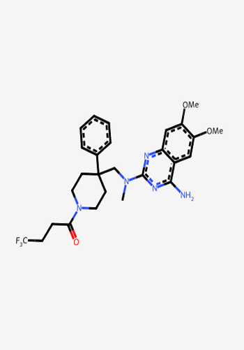 COc1cc2nc(N(C)CC3(c4ccccc4)CCN(C(=O)CCC(F)(F)F)CC3)nc(N)c2cc1OC